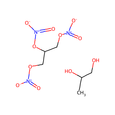 CC(O)CO.O=[N+]([O-])OCC(CO[N+](=O)[O-])O[N+](=O)[O-]